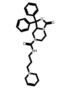 O=C(NCCCN1CC=CCC1)N1CCN2C(=O)OC(c3ccccc3)(c3ccccc3)C2C1